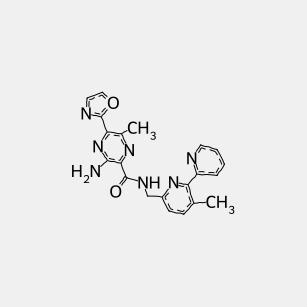 Cc1ccc(CNC(=O)c2nc(C)c(-c3ncco3)nc2N)nc1-c1ccccn1